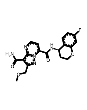 COCc1nn2c(C(=O)N[C@@H]3CCOc4cc(F)ccc43)ccnc2c1C(N)=O